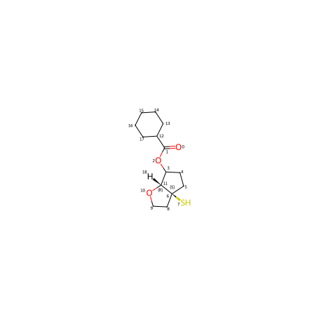 O=C(OC1CC[C@]2(S)CCO[C@H]12)C1CCCCC1